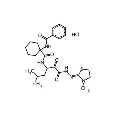 CC(C)CC(NC(=O)C1(NC(=O)c2ccccc2)CCCCC1)C(=O)C(=O)N/N=C1\SCCN1C.Cl